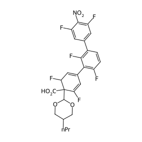 CCCC1COC(C2(C(=O)O)C(F)=CC(c3c(F)ccc(-c4cc(F)c([N+](=O)[O-])c(F)c4)c3F)=CC2F)OC1